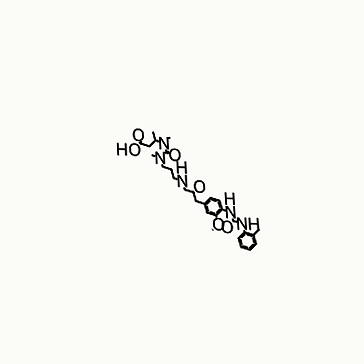 COc1cc(CC(=O)CNCCCN(C)C(=O)N(C)C(C)CC(=O)O)ccc1NC(=O)Nc1ccccc1C